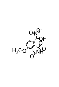 COc1ccc(C(O)[N+](=O)[O-])c2c1C(=O)NS2(=O)=O